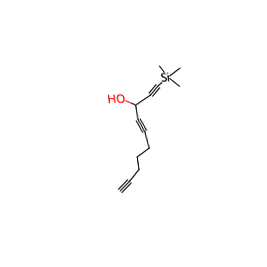 C#CCCCC#CC(O)C#C[Si](C)(C)C